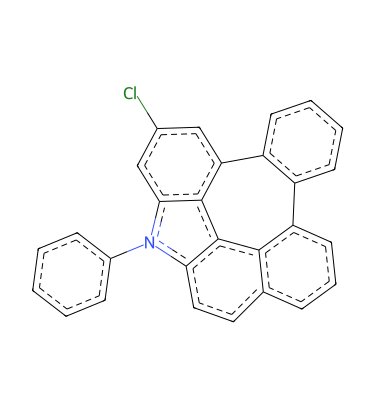 Clc1cc2c3c4c5c(cccc5ccc4n(-c4ccccc4)c3c1)-c1ccccc1-2